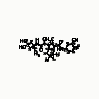 Cc1c(C(=O)C(=O)NC2(C)CS(O)(O)C2)c2n(c1C(=O)Nc1ccc(F)c(C#N)c1)[C@@H]1C[C@@H]1C2